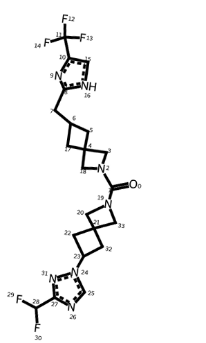 O=C(N1CC2(CC(Cc3nc(C(F)(F)F)c[nH]3)C2)C1)N1CC2(CC(n3cnc(C(F)F)n3)C2)C1